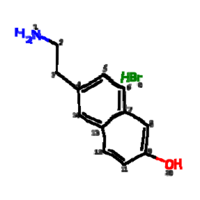 Br.NCCc1ccc2cc(O)ccc2c1